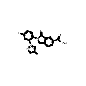 COC(=O)c1ccc2c(c1)C(=O)N(c1ccc(F)cc1-n1cc(F)cn1)C2